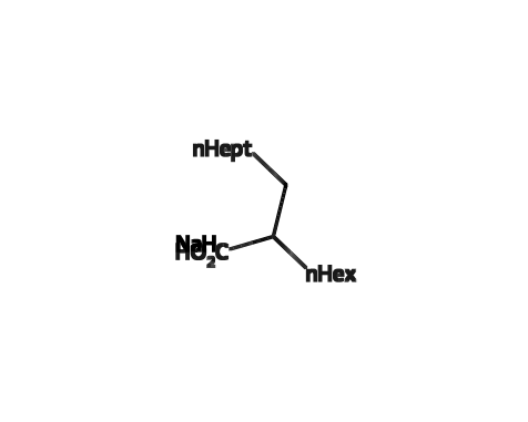 CCCCCCCCC(CCCCCC)C(=O)O.[NaH]